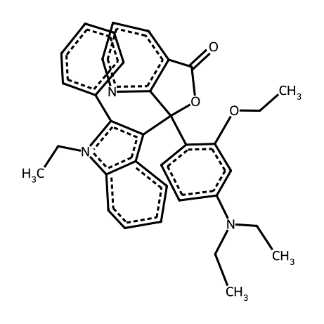 CCOc1cc(N(CC)CC)ccc1C1(c2c(-c3ccccc3)n(CC)c3ccccc23)OC(=O)c2cccnc21